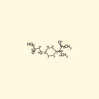 CC(=O)N(C)[C@H]1CC[C@H](OCS(=O)O)CC1